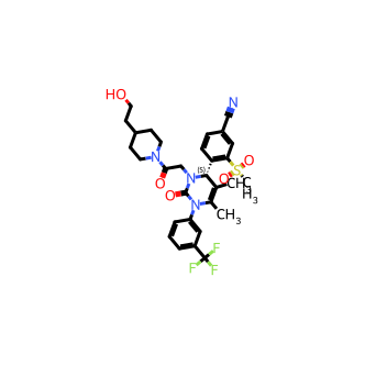 CC1=C(C)N(c2cccc(C(F)(F)F)c2)C(=O)N(CC(=O)N2CCC(CCO)CC2)[C@@H]1c1ccc(C#N)cc1S(C)(=O)=O